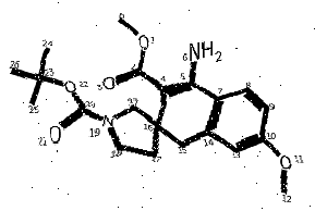 COC(=O)C1=C(N)c2ccc(OC)cc2CC12CCN(C(=O)OC(C)(C)C)C2